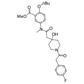 CCCCOc1ccc(N(C)C(=O)CC2(O)CCN(C(=O)Cc3ccc(F)cc3)CC2)cc1C(=O)OC